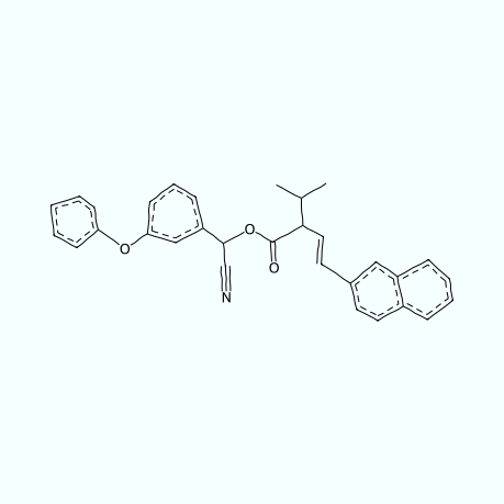 CC(C)C(C=Cc1ccc2ccccc2c1)C(=O)OC(C#N)c1cccc(Oc2ccccc2)c1